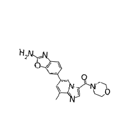 Cc1cc(-c2ccc3nc(N)oc3c2)cn2c(C(=O)N3CCOCC3)cnc12